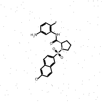 Nc1ccc(F)c(NC(=O)[C@H]2CCCN2S(=O)(=O)c2ccc3cc(Cl)ccc3c2)c1